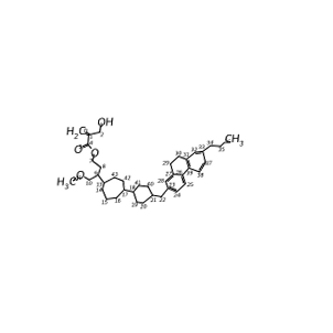 C=C(CO)C(=O)OCCC(COC)C1CCCC(C2CCC(Cc3ccc4c(c3)CCc3cc(CCC)ccc3-4)CC2)CC1